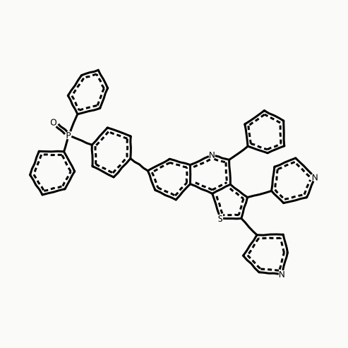 O=P(c1ccccc1)(c1ccccc1)c1ccc(-c2ccc3c(c2)nc(-c2ccccc2)c2c(-c4ccncc4)c(-c4ccncc4)sc23)cc1